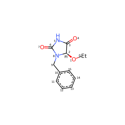 CCO[C@@H]1C(=O)NC(=O)N1Cc1ccccc1